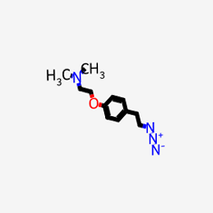 CN(C)CCOc1ccc(CCN=[N+]=[N-])cc1